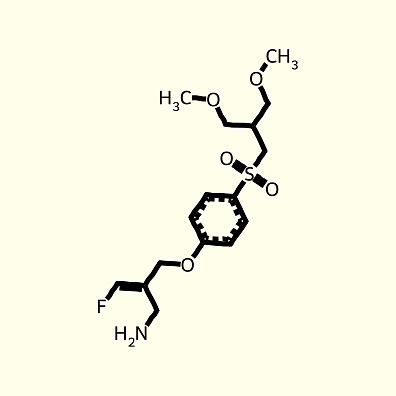 COCC(COC)CS(=O)(=O)c1ccc(OC/C(=C/F)CN)cc1